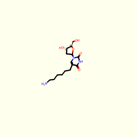 NCCCCCCc1cn(C2C[C@H](O)[C@@H](CO)O2)c(=O)[nH]c1=O